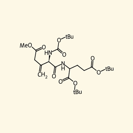 C=C(CC(=O)OC)[C@@H](NC(=O)OC(C)(C)C)C(=O)NC(CCC(=O)OC(C)(C)C)C(=O)OC(C)(C)C